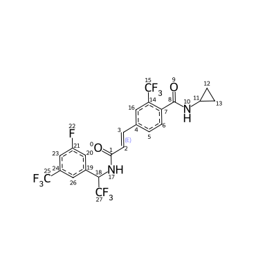 O=C(/C=C/c1ccc(C(=O)NC2CC2)c(C(F)(F)F)c1)NC(c1cc(F)cc(C(F)(F)F)c1)C(F)(F)F